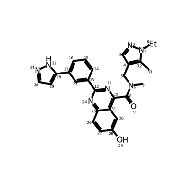 CCn1ncc(CN(C)C(=O)c2nc(-c3cccc(-c4ccn[nH]4)c3)nc3ccc(O)cc23)c1C